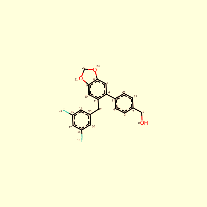 OCc1ccc(-c2cc3c(cc2Cc2cc(F)cc(F)c2)OCO3)cc1